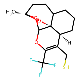 C[C@]12CCC3CCC[C@H]4C(CS)=C(C(F)(F)F)OC(O1)[C@@]34OO2